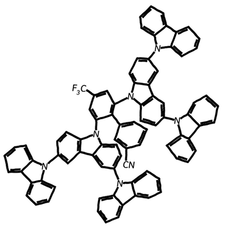 N#Cc1cccc(-c2c(-n3c4ccc(-n5c6ccccc6c6ccccc65)cc4c4cc(-n5c6ccccc6c6ccccc65)ccc43)cc(C(F)(F)F)cc2-n2c3ccc(-n4c5ccccc5c5ccccc54)cc3c3cc(-n4c5ccccc5c5ccccc54)ccc32)c1